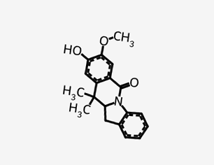 COc1cc2c(cc1O)C(C)(C)C1Cc3ccccc3N1C2=O